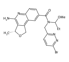 CCC(OC)N(Cc1ccc(Br)nn1)C(=O)c1ccc2nc(N)c3c(c2c1)CO[C@@H]3C